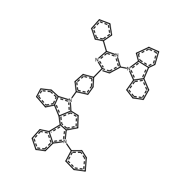 c1ccc(-c2nc(-c3ccc(-n4c5ccccc5c5c6c7ccccc7n(-c7ccccc7)c6ccc54)cc3)cc(-n3c4ccccc4c4ccccc43)n2)cc1